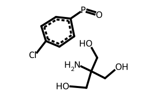 NC(CO)(CO)CO.O=Pc1ccc(Cl)cc1